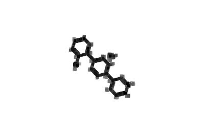 [O-]c1ccccc1-c1ccc(-c2cccnc2)cc1.[Rb+]